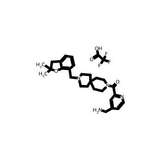 CC1(C)Cc2cccc(CN3CCC4(CC3)CCN(C(=O)c3cc(CN)ccn3)CC4)c2O1.O=C(O)C(F)(F)F